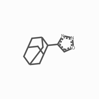 c1onnc1C1C2CC3CC(C2)CC1C3